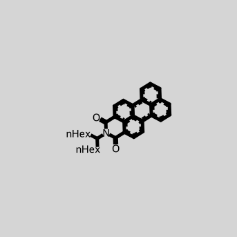 CCCCCCC(CCCCCC)N1C(=O)c2ccc3c4cccc5cccc(c6ccc(c2c36)C1=O)c54